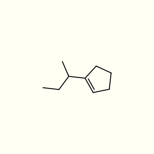 CC[C](C)C1=CCCC1